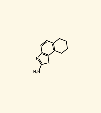 Nc1nc2ccc3c(c2s1)CCCC3